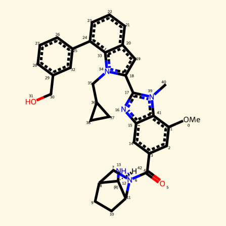 COc1cc(C(=O)N2CC3CCC2[C@@H]3N)cc2nc(-c3cc4cccc(-c5cccc(CO)c5)c4n3CC3CC3)n(C)c12